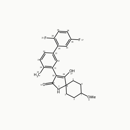 COC1CCC2(CC1)NC(=O)C(c1cc(-c3cc(F)ccc3F)ccc1C)=C2O